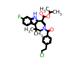 CC(C)OC(=O)C1=CN(C(=O)c2ccc(CCCl)cc2)CC(C)(C)c2c1[nH]c1cc(F)ccc21